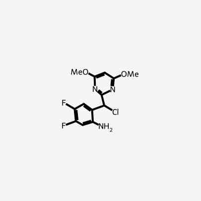 COc1cc(OC)nc(C(Cl)c2cc(F)c(F)cc2N)n1